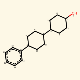 OC1CCC(C2CCC(c3ccccc3)CC2)CC1